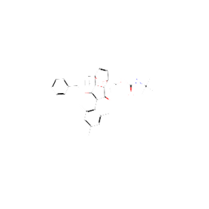 Cc1cc(C)c(C2=C(OCc3ccccc3)[C@H]3[C@@H]4C=C[C@@](COC(=O)NC(C)(C)C)(O4)[C@H]3C2=O)c(C)c1